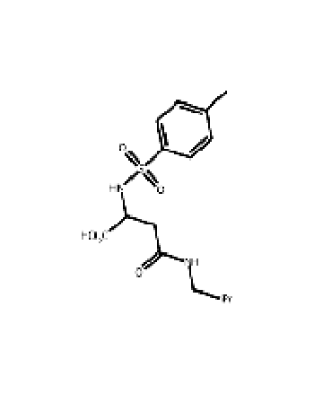 Cc1ccc(S(=O)(=O)NC(CC(=O)NCC(C)C)C(=O)O)cc1